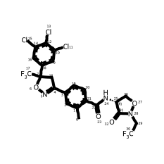 Cc1cc(C2=NOC(c3cc(Cl)c(Cl)c(Cl)c3)(C(F)(F)F)C2)ccc1C(=O)N[C@@H]1CON(CC(F)(F)F)C1=O